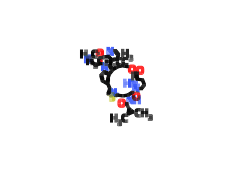 CO[C@@H](C)c1ncccc1-c1c2c3cc(ccc3n1CCC#N)-c1csc(n1)C[C@H](NC(=O)[C@H]1[C@H](C)[C@@H]1C)C(=O)N1CCC[C@H](N1)C(=O)OCC(C)(C)C2